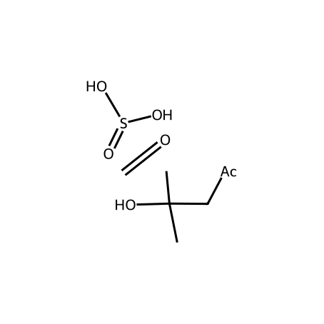 C=O.CC(=O)CC(C)(C)O.O=S(O)O